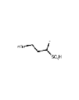 CCCCCCC(F)S(=O)(=O)O